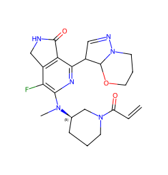 C=CC(=O)N1CCC[C@@H](N(C)c2nc(C3C=NN4CCCOC34)c3c(c2F)CNC3=O)C1